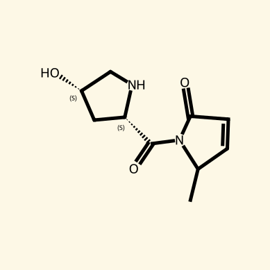 CC1C=CC(=O)N1C(=O)[C@@H]1C[C@H](O)CN1